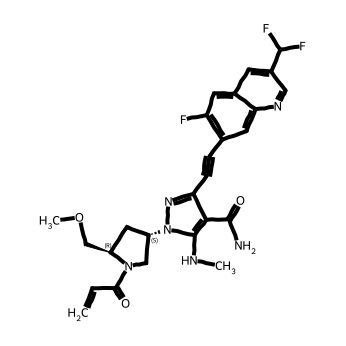 C=CC(=O)N1C[C@@H](n2nc(C#Cc3cc4ncc(C(F)F)cc4cc3F)c(C(N)=O)c2NC)C[C@@H]1COC